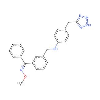 CO/N=C(/c1ccccc1)c1cccc(CNc2ccc(Cc3nn[nH]n3)cc2)c1